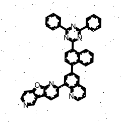 c1ccc(-c2nc(-c3ccccc3)nc(-c3ccc(-c4cc(-c5ccc6c(n5)oc5ccncc56)c5ncccc5c4)c4ccccc34)n2)cc1